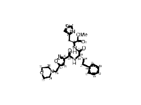 COC(=O)[C@H](Cc1cscn1)NC(=O)[C@H](CCc1ccccc1)NC(=O)c1cc(CN2CCOCC2)on1